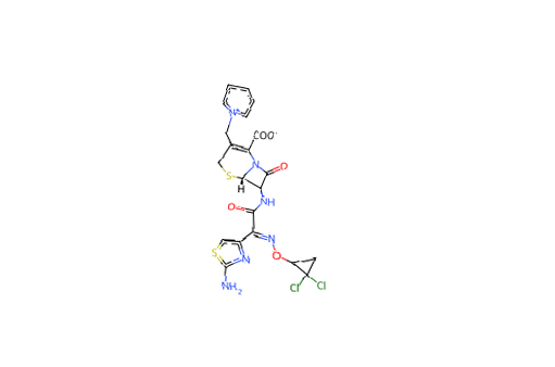 Nc1nc(C(=NOC2CC2(Cl)Cl)C(=O)N[C@@H]2C(=O)N3C(C(=O)[O-])=C(C[n+]4ccccc4)CS[C@@H]23)cs1